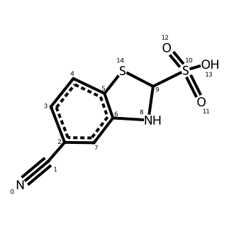 N#Cc1ccc2c(c1)NC(S(=O)(=O)O)S2